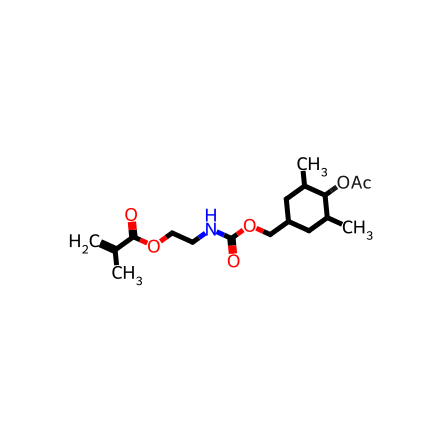 C=C(C)C(=O)OCCNC(=O)OCC1CC(C)C(OC(C)=O)C(C)C1